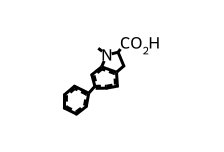 CN1c2cc(-c3ccccc3)ccc2CC1C(=O)O